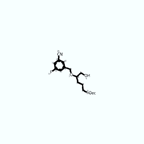 CCCCCCCCCCCCCC(CO)OCc1cc(F)cc(C#N)c1